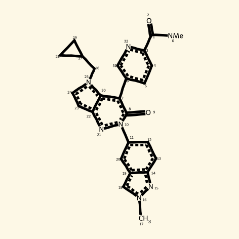 CNC(=O)c1ccc(-c2c(=O)n(-c3ccc4nn(C)cc4c3)nc3ccn(CC4CC4)c23)cn1